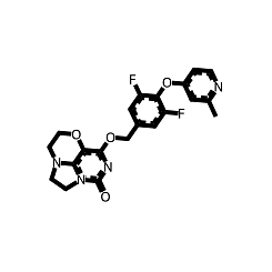 Cc1cc(Oc2c(F)cc(COc3nc(=O)n4c5c3OCCN5CC4)cc2F)ccn1